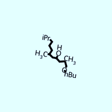 CCCCOCC(C)CC(O)CC(C)CCCC(C)C